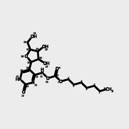 CCCCCCCOC(=O)ONc1nc(=O)[nH]cc1C1OC(CO)C(O)C1O